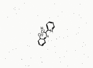 CC(/N=C1/C=CC=CC1O)c1ccccn1